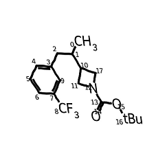 CC(Cc1cccc(C(F)(F)F)c1)C1CN(C(=O)OC(C)(C)C)C1